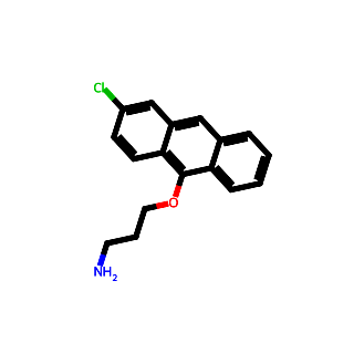 NCCCOc1c2ccccc2cc2cc(Cl)ccc12